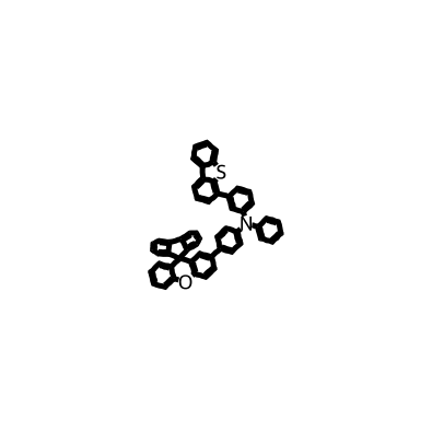 c1ccc(N(c2ccc(-c3ccc4c(c3)C3(c5ccccc5O4)c4ccccc4-c4ccccc43)cc2)c2cccc(-c3cccc4c3sc3ccccc34)c2)cc1